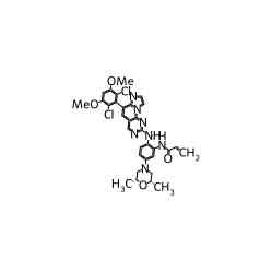 C=CC(=O)Nc1cc(N2C[C@@H](C)O[C@@H](C)C2)ccc1Nc1ncc2cc(-c3c(Cl)c(OC)cc(OC)c3Cl)c3nccn3c2n1